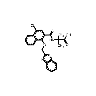 CC(C)(NC(=O)c1cc(Cl)c2ccccc2c1OCc1nc2ccccc2s1)C(=O)O